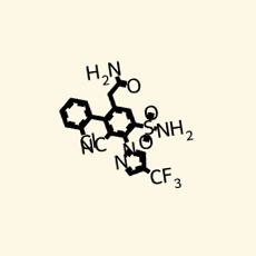 N#Cc1c(-c2ccccc2Cl)c(CC(N)=O)cc(S(N)(=O)=O)c1-n1cc(C(F)(F)F)cn1